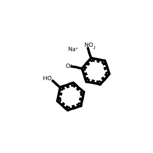 O=[N+]([O-])c1ccccc1[O-].Oc1ccccc1.[Na+]